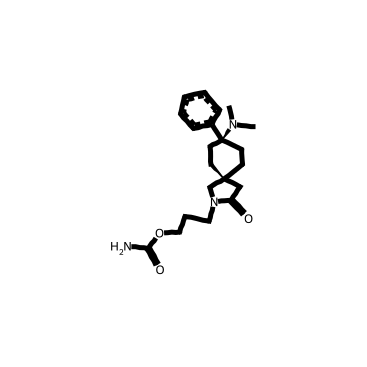 CN(C)[C@]1(c2ccccc2)CC[C@@]2(CC1)CC(=O)N(CCCOC(N)=O)C2